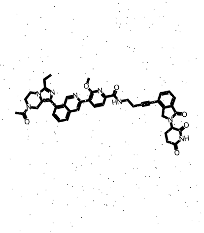 CCc1nc(-c2cccc3cc(-c4ccc(C(=O)NCCC#Cc5cccc6c5CN(C5CCC(=O)NC5=O)C6=O)nc4OC)ncc23)c2n1CCN(C(C)=O)C2